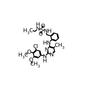 CCNS(=O)(=O)NCc1ccccc1Nc1nc(Nc2cc(Cl)c(OC)c(OC)c2)ncc1C